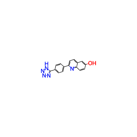 Oc1ccc2nc(-c3ccc(-c4nnn[nH]4)cc3)ccc2c1